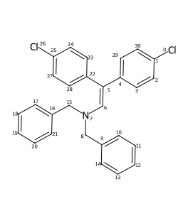 Clc1ccc(C(=CN(Cc2ccccc2)Cc2ccccc2)c2ccc(Cl)cc2)cc1